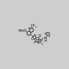 COc1ccc(-c2nc(C(=O)N[C@@H](C)CNc3nccs3)c([C@H](C)N)o2)c2ccc(C(F)(F)F)nc12